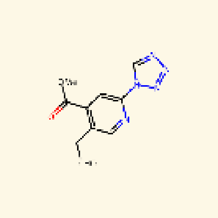 COC(=O)c1cc(-n2cnnn2)ncc1CC=O